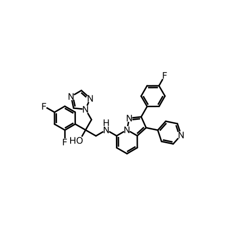 OC(CNc1cccc2c(-c3ccncc3)c(-c3ccc(F)cc3)nn12)(Cn1cncn1)c1ccc(F)cc1F